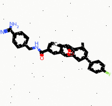 Cc1cc(-c2ccc(F)cc2)cc2c3oc(c4ccc(C(=O)NCc5ccc(C(=N)N)cc5)cc43)c12